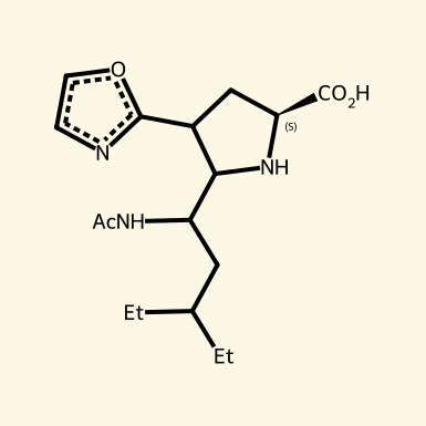 CCC(CC)CC(NC(C)=O)C1N[C@H](C(=O)O)CC1c1ncco1